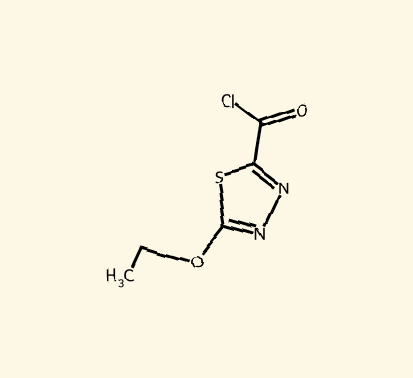 CCOc1nnc(C(=O)Cl)s1